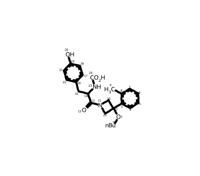 CCCCOC1(c2ccccc2C)CN(C(=O)C(Cc2ccc(O)cc2)NC(=O)O)C1